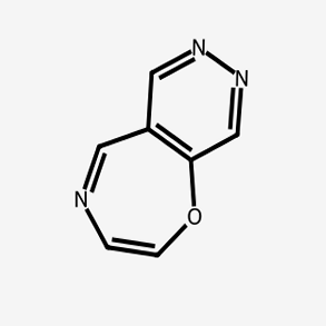 C1=COc2cnncc2C=N1